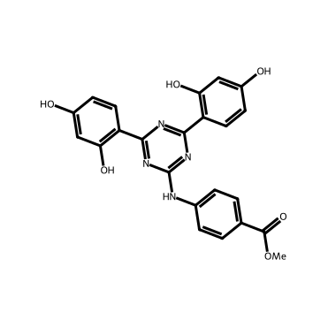 COC(=O)c1ccc(Nc2nc(-c3ccc(O)cc3O)nc(-c3ccc(O)cc3O)n2)cc1